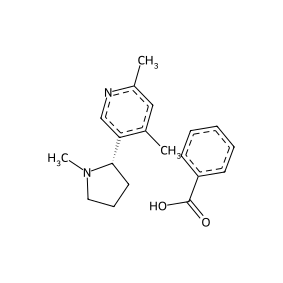 Cc1cc(C)c([C@@H]2CCCN2C)cn1.O=C(O)c1ccccc1